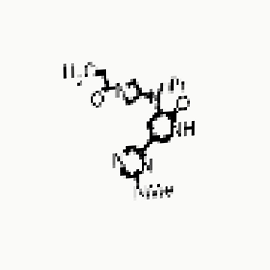 C=CC(=O)N1CC(N(CCC)c2cc(-c3cncc(NC)n3)c[nH]c2=O)C1